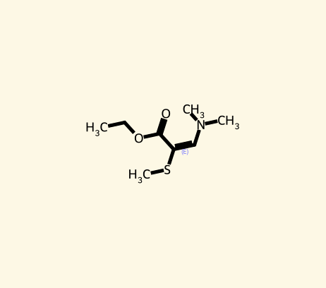 CCOC(=O)/C(=C\N(C)C)SC